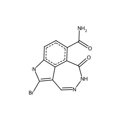 NC(=O)c1ccc2c3c1C(=O)NN=CC3=C(Br)[N]2